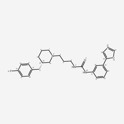 O=C(NCCCN1CCC[C@@H](Cc2ccc(F)cc2)C1)Nc1cccc(-c2cnco2)c1